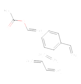 C=C.C=CC=C.C=COC(C)=O.C=Cc1ccccc1